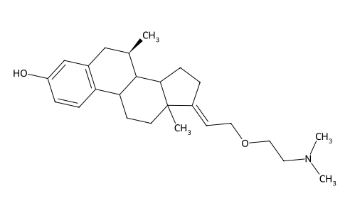 C[C@@H]1Cc2cc(O)ccc2C2CCC3(C)/C(=C/COCCN(C)C)CCC3C21